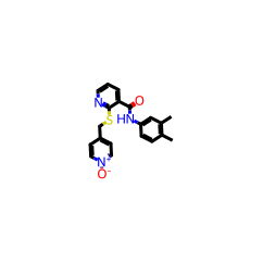 Cc1ccc(NC(=O)c2cccnc2SCc2cc[n+]([O-])cc2)cc1C